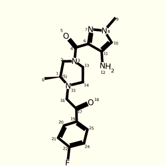 C[C@H]1CN(C(=O)c2nn(C)cc2N)CCN1CC(=O)c1ccc(F)cc1